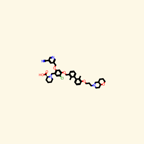 Cc1c(COc2cc(OCc3cncc(C#N)c3)c(CN3CCCC[C@H]3C(=O)O)cc2Cl)cccc1-c1cccc(OCCCN2CCC3OCCCC3C2)c1C